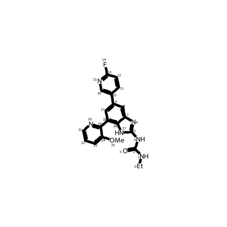 CCNC(=O)Nc1nc2cc(-c3ccc(F)nc3)cc(-c3ncccc3OC)c2[nH]1